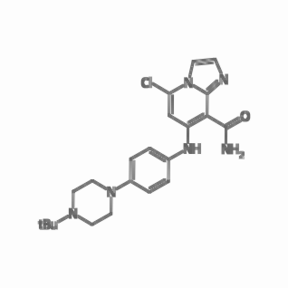 CC(C)(C)N1CCN(c2ccc(Nc3cc(Cl)n4ccnc4c3C(N)=O)cc2)CC1